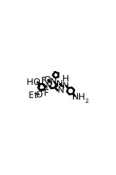 CCOc1cc(O)c(F)c(N2Cc3cnc(NC4CCC(N)CC4)nc3N(C3CCCC3)C2=O)c1F